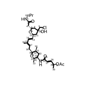 CCCNC(=O)C[C@@H]1C[C@@](O)(CCl)C[C@@H](C=CC(C)=CC[C@@H]2O[C@H](C)[C@H](NC(=O)C=C[C@H](C)OC(C)=O)C[C@@H]2C)O1